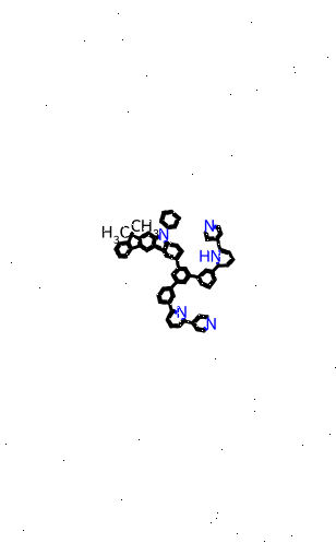 CC1(C)c2ccccc2-c2cc3c4cc(-c5cc(-c6cccc(-c7cccc(-c8ccncc8)n7)c6)cc(-c6cccc(C7C=CC=C(c8ccncc8)N7)c6)c5)ccc4n(-c4ccccc4)c3cc21